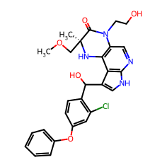 COC[C@]1(C)Nc2c(cnc3[nH]cc(C(O)c4ccc(Oc5ccccc5)cc4Cl)c23)N(CCO)C1=O